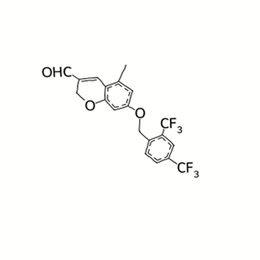 Cc1cc(OCc2ccc(C(F)(F)F)cc2C(F)(F)F)cc2c1C=C(C=O)CO2